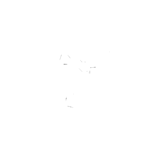 COCCn1c(=O)[nH]c([C@H]2CC[C@H](C3C=CC=CC3)CC2)c(Cc2cccc(C(F)(F)F)c2)c1=O